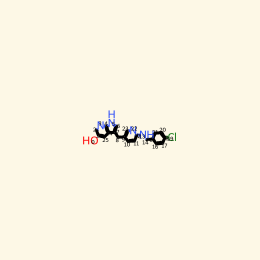 Oc1cnc2[nH]cc(Cc3ccc(NCC4C=CC(Cl)=CC4)nc3)c2c1